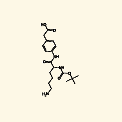 CC(C)(C)OC(=O)NC(CCCCN)C(=O)Nc1ccc(CC(=O)O)cc1